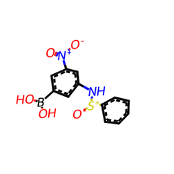 O=[N+]([O-])c1cc(N[S+]([O-])c2ccccc2)cc(B(O)O)c1